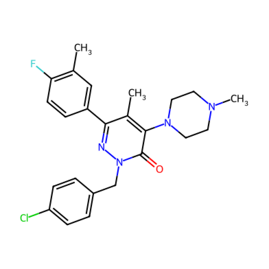 Cc1cc(-c2nn(Cc3ccc(Cl)cc3)c(=O)c(N3CCN(C)CC3)c2C)ccc1F